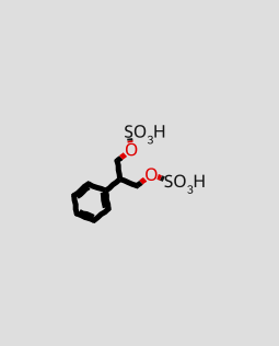 O=S(=O)(O)OCC(COS(=O)(=O)O)c1ccccc1